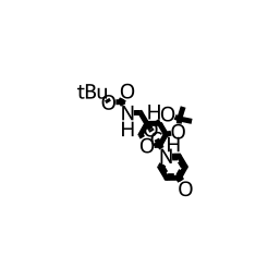 CC(C)(C)OC(=O)NCC12COC(n3ccc(=O)cc3)(CO1)[C@H]1OC(C)(C)O[C@H]12